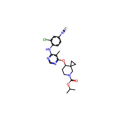 [C-]#[N+]c1ccc(Nc2ncnc(OC3CCN(C(=O)OC(C)C)CC34CC4)c2C)c(Cl)c1